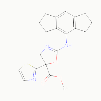 CCCOC(=O)C1(c2nccs2)CN=C(Nc2c3c(cc4c2CCC4)CCC3)O1